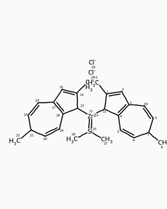 CC1=CC2=C(C=CC(C)C=C2)[CH]1[Zr+2]([CH]1C(C)=CC2=C1C=CC(C)C=C2)=[Si](C)C.[Cl-].[Cl-]